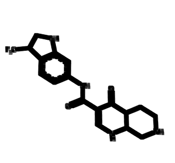 O=C(Nc1ccc2c(c1)NCC2C(F)(F)F)C1=CNC2CNCCC2C1=O